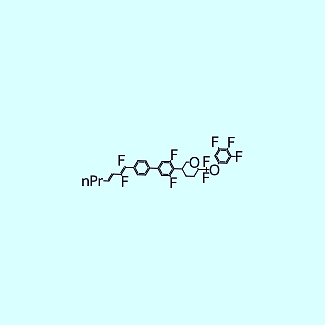 CCC/C=C/C(F)=C(\F)c1ccc(-c2cc(F)c(C3CCC(C(F)(F)Oc4cc(F)c(F)c(F)c4)OC3)c(F)c2)cc1